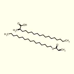 C=C(CCCCCCCCCCCCCCCC)C(=O)O.C=CC(=O)OCCCCCCCCCCCCCCCC